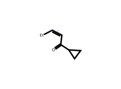 CC/C=C\C(=O)C1CC1